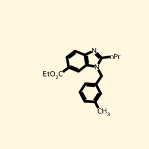 CCCc1nc2ccc(C(=O)OCC)cc2n1Cc1cccc(C)c1